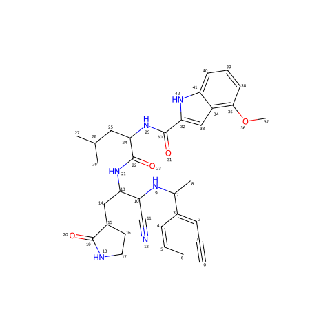 C#C/C=C(\C=C/C)C(C)NC(C#N)C(CC1CCNC1=O)NC(=O)C(CC(C)C)NC(=O)c1cc2c(OC)cccc2[nH]1